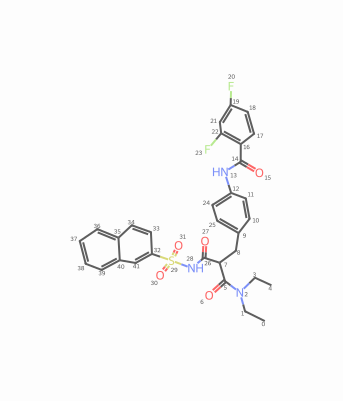 CCN(CC)C(=O)C(Cc1ccc(NC(=O)c2ccc(F)cc2F)cc1)C(=O)NS(=O)(=O)c1ccc2ccccc2c1